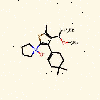 CCOC(=O)C(OC(C)(C)C)c1c(C)sc([N+]2([O-])CCCC2)c1C1=CCC(C)(C)CC1